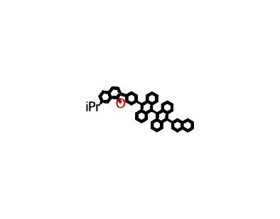 CC(C)c1ccc2ccc3c4ccc(-c5c6ccccc6c(-c6c7ccccc7c(-c7ccc8ccccc8c7)c7ccccc67)c6ccccc56)cc4oc3c2c1